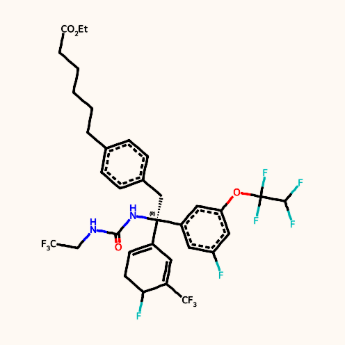 CCOC(=O)CCCCCc1ccc(C[C@@](NC(=O)NCC(F)(F)F)(C2=CCC(F)C(C(F)(F)F)=C2)c2cc(F)cc(OC(F)(F)C(F)F)c2)cc1